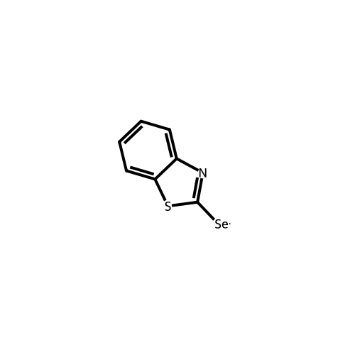 [Se]c1nc2ccccc2s1